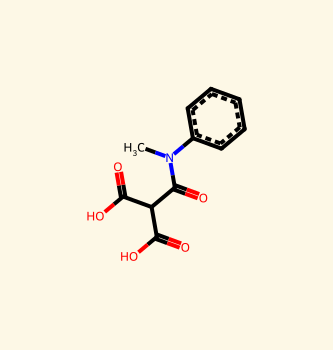 CN(C(=O)C(C(=O)O)C(=O)O)c1ccccc1